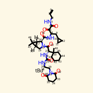 C=CCNC(=O)C(=O)C(CC1CC1)NC(=O)[C@@H]1[C@@H]2[C@H](CN1C(=O)[C@@H](NC(=O)N[C@H](CN1C(=O)CCCC1=O)C(C)(C)C)C1(C)CCCCC1)C2(C)C